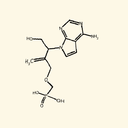 C=C(COCP(=O)(O)O)C(CO)n1ccc2c(N)ncnc21